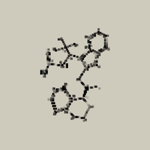 CN(Cc1nc2ccccn2c1C(NC(=O)O)C(C)(C)C)[C@H]1CCCc2cccnc21